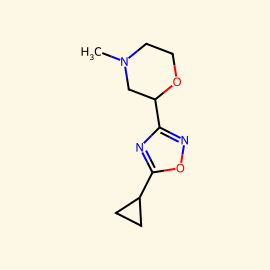 CN1CCOC(c2noc(C3CC3)n2)C1